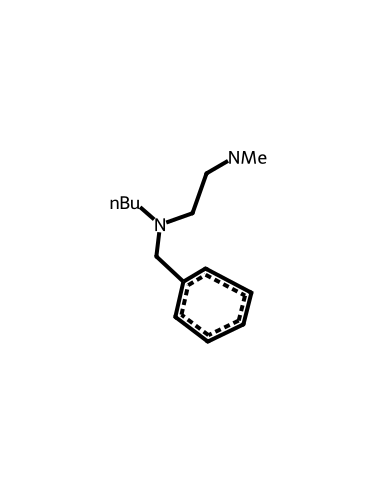 CCCCN(CCNC)Cc1ccccc1